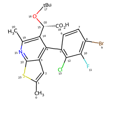 Cc1cc2c(-c3ccc(Br)c(F)c3Cl)c([C@H](OC(C)(C)C)C(=O)O)c(C)nc2s1